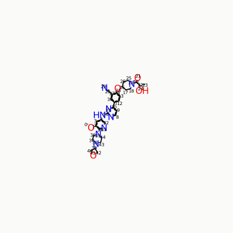 COc1cc(Nc2nccc(-c3ccc(OC4CCN(C(=O)[C@@H](C)O)CC4)c(C#N)c3)n2)cnc1N1CCN(C2COC2)CC1